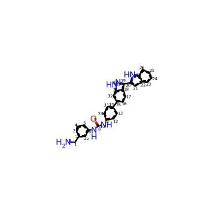 NCc1cccc(NC(=O)Nc2ccc(-c3ccc4c(-c5cc6ccccc6[nH]5)n[nH]c4c3)cc2)c1